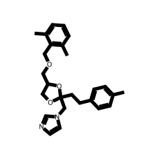 Cc1ccc(CCC2(Cn3ccnc3)OCC(COCc3c(C)cccc3C)O2)cc1